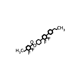 CCCc1ccc(-c2ccc(C3CCC(OC(=O)c4ccc(CC)c(F)c4F)CC3)c(F)c2F)cc1